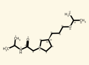 CC(C)NC(=O)CN1CC[C@H](CCCOC(C)C)C1